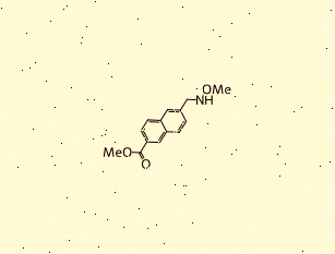 CONCc1ccc2cc(C(=O)OC)ccc2c1